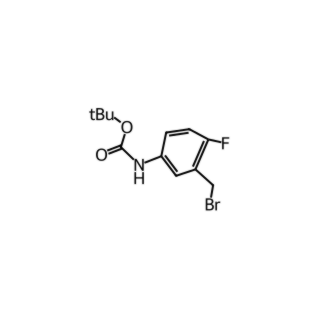 CC(C)(C)OC(=O)Nc1ccc(F)c(CBr)c1